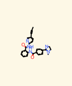 CC#Cc1ccc(NC(=O)c2ccccc2NC(=O)c2ccc(C3=NCCN3C)cc2)nc1